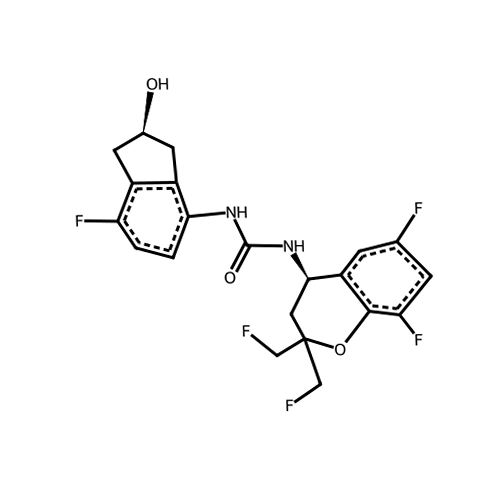 O=C(Nc1ccc(F)c2c1C[C@H](O)C2)N[C@@H]1CC(CF)(CF)Oc2c(F)cc(F)cc21